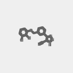 N#Cc1[nH]nnc1-c1cccc(COc2cccc(Cl)c2Cl)c1